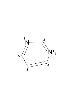 [C]1=N[C]=[N+]C=C1